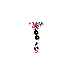 CNC(=O)C(C(=O)NO)N(C)C(=O)c1ccc(-c2ccc(OCCCN3CCS(=O)(=O)CC3)cc2)cc1